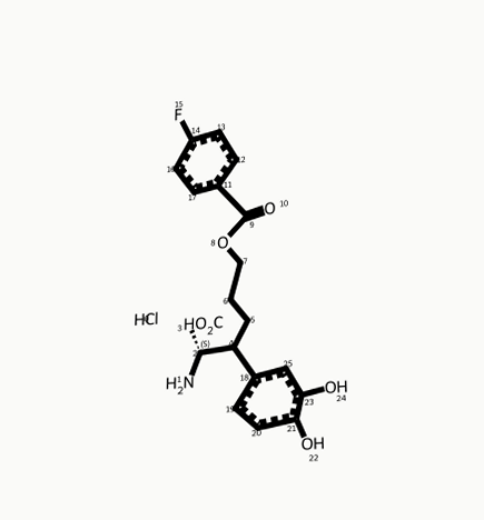 Cl.N[C@H](C(=O)O)C(CCCOC(=O)c1ccc(F)cc1)c1ccc(O)c(O)c1